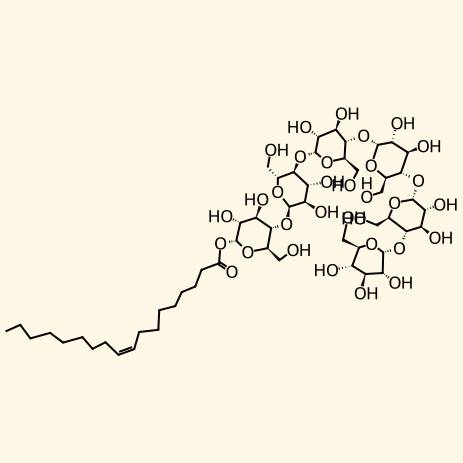 CCCCCCCC/C=C\CCCCCCCC(=O)O[C@H]1O[C@H](CO)[C@@H](O[C@H]2O[C@H](CO)[C@@H](O[C@H]3O[C@H](CO)[C@@H](O[C@H]4O[C@H](CO)[C@@H](O[C@H]5O[C@H](CO)[C@@H](O[C@H]6O[C@H](CO)[C@@H](O)[C@H](O)[C@H]6O)[C@H](O)[C@H]5O)[C@H](O)[C@H]4O)[C@H](O)[C@H]3O)[C@H](O)[C@H]2O)[C@H](O)[C@H]1O